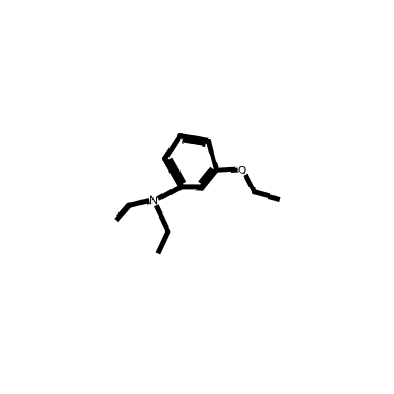 CCOc1[c]c(N(CC)CC)ccc1